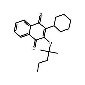 CCCC(C)(C)OC1=C(C2CCCCC2)C(=O)c2ccccc2C1=O